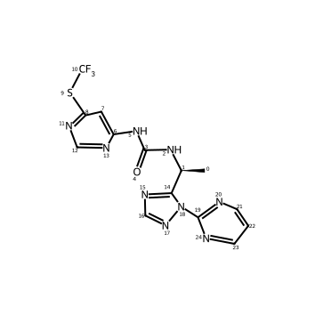 C[C@H](NC(=O)Nc1cc(SC(F)(F)F)ncn1)c1ncnn1-c1ncccn1